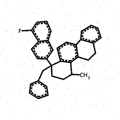 CC1CCC(Cc2ccccc2)(c2ccc3c(F)cccc3c2)c2ccc3c(c21)CCc1ccccc1-3